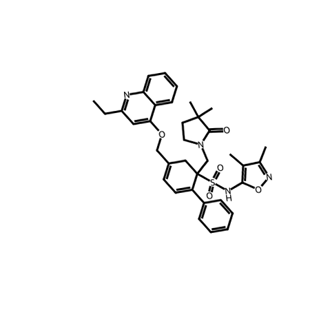 CCc1cc(OCC2=CC=C(c3ccccc3)C(CN3CCC(C)(C)C3=O)(S(=O)(=O)Nc3onc(C)c3C)C2)c2ccccc2n1